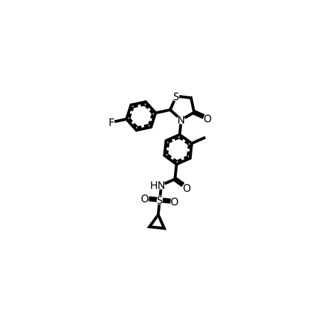 Cc1cc(C(=O)NS(=O)(=O)C2CC2)ccc1N1C(=O)CSC1c1ccc(F)cc1